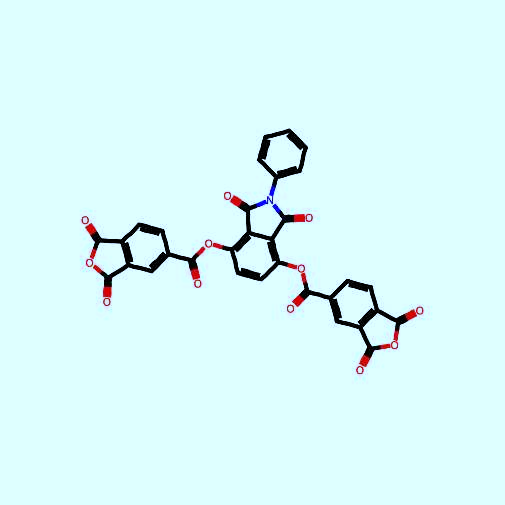 O=C(Oc1ccc(OC(=O)c2ccc3c(c2)C(=O)OC3=O)c2c1C(=O)N(c1ccccc1)C2=O)c1ccc2c(c1)C(=O)OC2=O